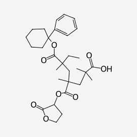 CCC(C)(CC(C)(CC(C)(C)C(=O)O)C(=O)OC1CCOC1=O)C(=O)OC1(c2ccccc2)CCCCC1